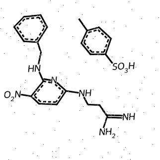 Cc1ccc(S(=O)(=O)O)cc1.N=C(N)CCNc1ccc([N+](=O)[O-])c(NCc2ccccc2)n1